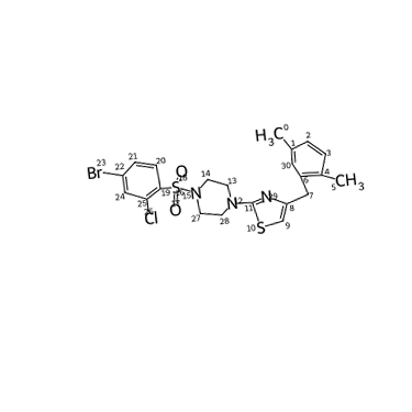 Cc1ccc(C)c(Cc2csc(N3CCN(S(=O)(=O)c4ccc(Br)cc4Cl)CC3)n2)c1